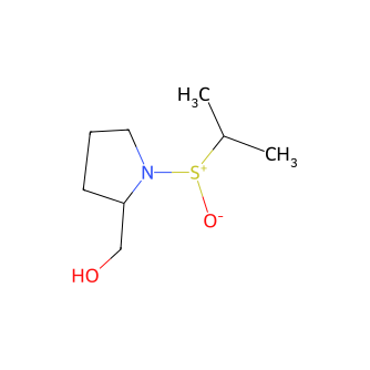 CC(C)[S+]([O-])N1CCCC1CO